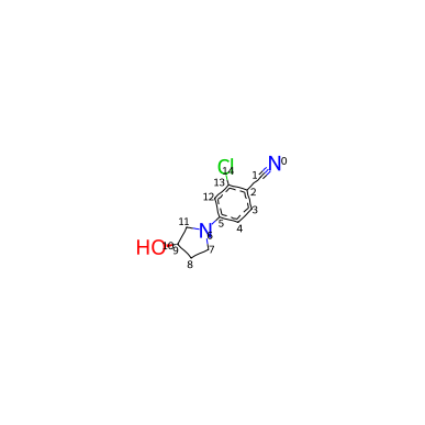 N#Cc1ccc(N2CC[C@@H](O)C2)cc1Cl